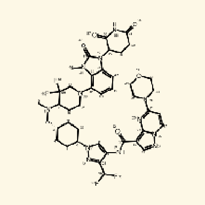 CN(C[C@H]1CC[C@H](n2cc(NC(=O)c3cnn4ccc(N5CCOCC5)nc34)c(C(F)F)n2)CC1)C1CCN(c2cccc3c2n(C)c(=O)n3C2CCC(=O)NC2=O)CC1(F)F